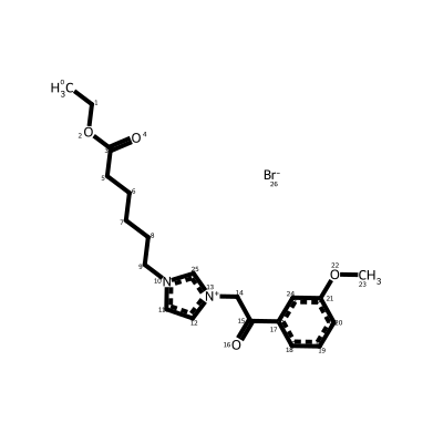 CCOC(=O)CCCCCn1cc[n+](CC(=O)c2cccc(OC)c2)c1.[Br-]